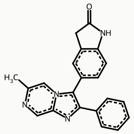 Cc1cn2c(-c3ccc4c(c3)CC(=O)N4)c(-c3ccccc3)nc2cn1